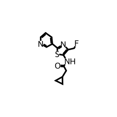 O=C(CC1CC1)Nc1sc(-c2cccnc2)nc1CF